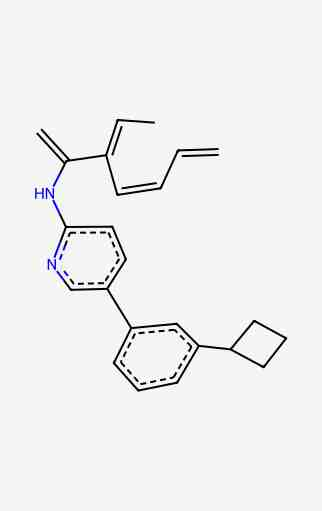 C=C/C=C\C(=C/C)C(=C)Nc1ccc(-c2cccc(C3CCC3)c2)cn1